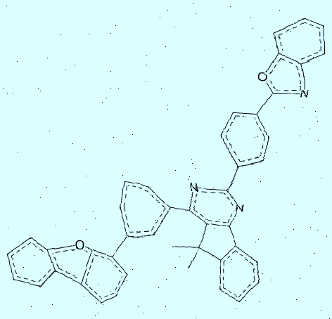 CC1(C)c2ccccc2-c2nc(-c3ccc(-c4nc5ccccc5o4)cc3)nc(-c3cccc(-c4cccc5c4oc4ccccc45)c3)c21